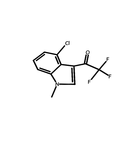 Cn1cc(C(=O)C(F)(F)F)c2c(Cl)cccc21